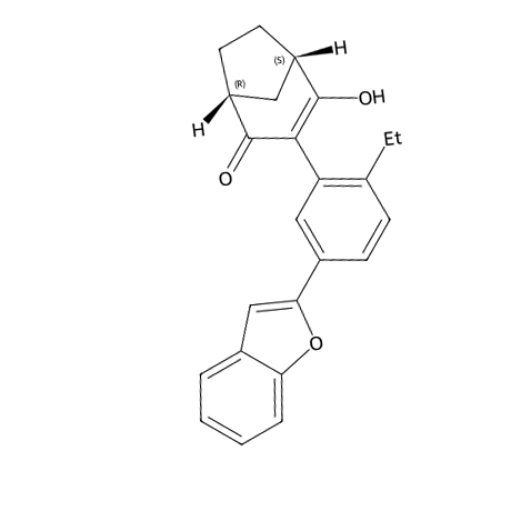 CCc1ccc(-c2cc3ccccc3o2)cc1C1=C(O)[C@H]2CC[C@H](C2)C1=O